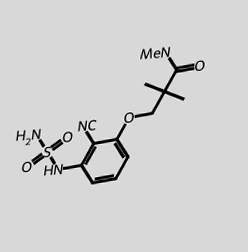 CNC(=O)C(C)(C)COc1cccc(NS(N)(=O)=O)c1C#N